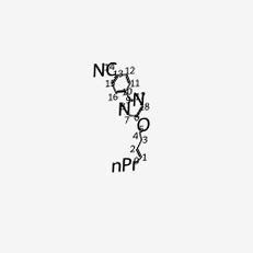 CCCC=CCCOc1cnc(-c2ccc(C#N)cc2)nc1